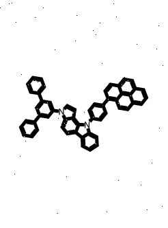 c1ccc(-c2cc(-c3ccccc3)cc(-n3ccc4c3ccc3c5ccccc5n(-c5ccc(-c6ccc7ccc8cccc9ccc6c7c89)cc5)c34)c2)cc1